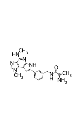 CNc1nc2[nH]c(-c3cccc(CNC(=O)[C@@H](C)N)c3)cc2c2c1ncn2C